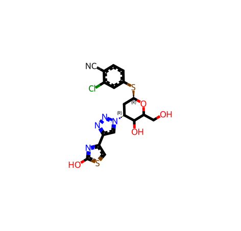 N#Cc1ccc(S[C@@H]2C[C@@H](n3cc(-c4csc(O)n4)nn3)C(O)C(CO)O2)cc1Cl